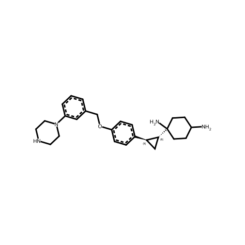 NC1CCC(N)([C@@H]2C[C@H]2c2ccc(OCc3cccc(N4CCNCC4)c3)cc2)CC1